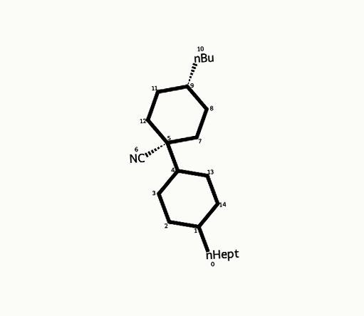 CCCCCCCC1CCC([C@]2(C#N)CC[C@@H](CCCC)CC2)CC1